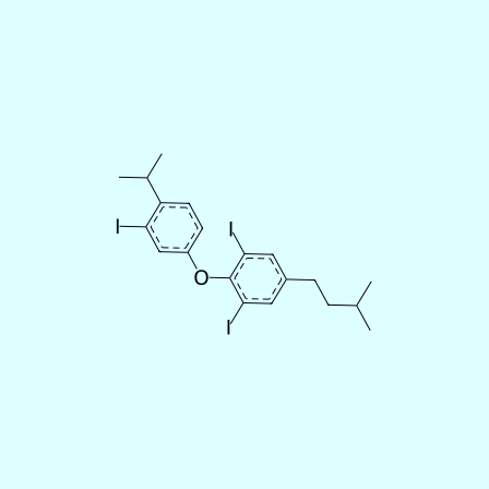 CC(C)CCc1cc(I)c(Oc2ccc(C(C)C)c(I)c2)c(I)c1